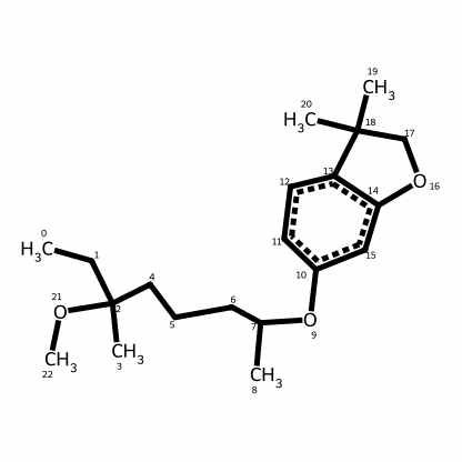 CCC(C)(CCCC(C)Oc1ccc2c(c1)OCC2(C)C)OC